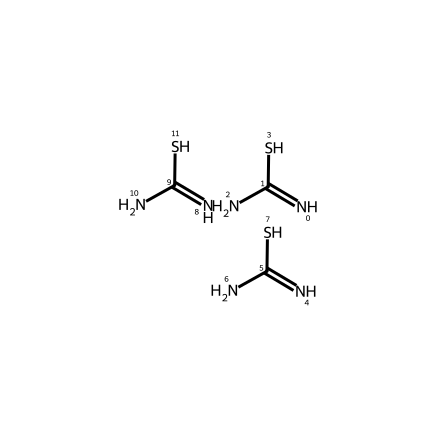 N=C(N)S.N=C(N)S.N=C(N)S